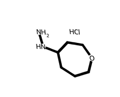 Cl.NNC1CCCOCC1